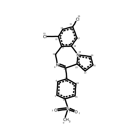 CS(=O)(=O)c1ccc(C2=NCc3c(Cl)cc(Cl)cc3-n3cccc32)cc1